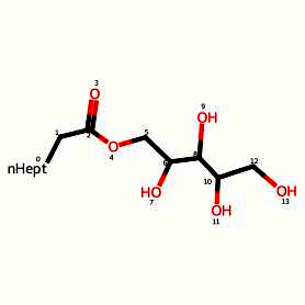 CCCCCCCCC(=O)OCC(O)C(O)C(O)CO